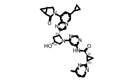 Cc1ccnc([C@H]2C[C@@H]2C(=O)Nc2cc(N3C[C@@H](O)C[C@@H]3c3cn4cc(C5CC5)cc(N5CC6CC6C5=O)c4n3)ncn2)n1